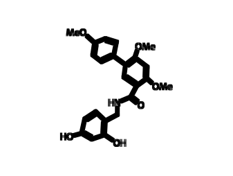 COc1ccc(-c2cc(C(=O)NCc3ccc(O)cc3O)c(OC)cc2OC)cc1